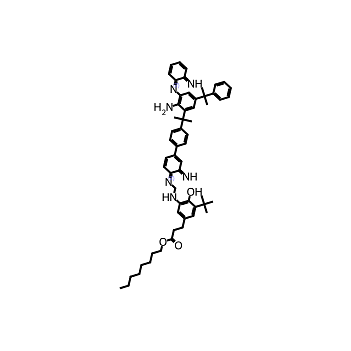 CCCCCCCCOC(=O)CCc1cc(NC/N=C2/C=CC(c3ccc(C(C)(C)c4cc(C(C)(C)c5ccccc5)cc(/N=C5/C=CC=CC5=N)c4N)cc3)=CC2=N)c(O)c(C(C)(C)C)c1